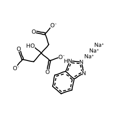 O=C([O-])CC(O)(CC(=O)[O-])C(=O)[O-].[Na+].[Na+].[Na+].c1ccc2[nH]nnc2c1